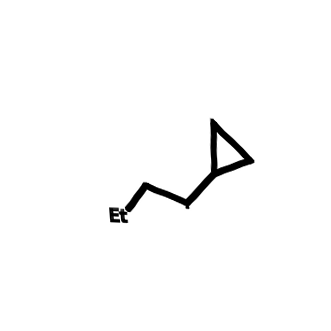 [CH2]CC[CH]C1CC1